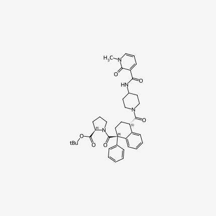 Cn1cccc(C(=O)NC2CCN(C(=O)[C@H]3CC[C@@](C(=O)N4CCC[C@@H]4C(=O)OC(C)(C)C)(c4ccccc4)c4ccccc43)CC2)c1=O